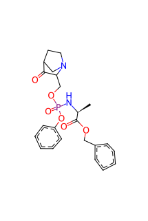 C[C@H](NP(=O)(OCC1C(=O)C2CCN1C2)Oc1ccccc1)C(=O)OCc1ccccc1